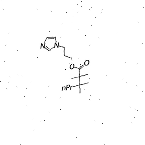 CCCC(C)(C)C(C)(C)C(=O)OCCCn1ccnc1